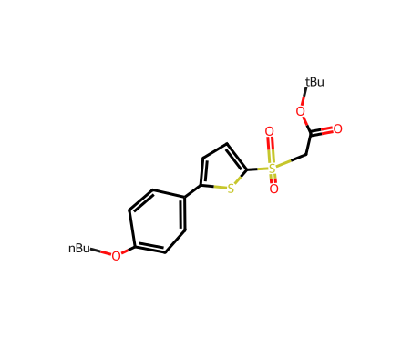 CCCCOc1ccc(-c2ccc(S(=O)(=O)CC(=O)OC(C)(C)C)s2)cc1